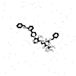 Cc1c(NCC(NC(=O)OCc2ccccc2)C(=O)OC(C)(C)C)ncnc1N1CCC(c2cccc(NCc3ccccc3)n2)CC1